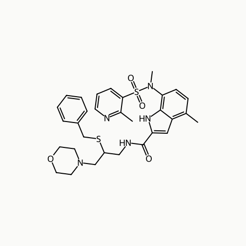 Cc1ncccc1S(=O)(=O)N(C)c1ccc(C)c2cc(C(=O)NCC(CN3CCOCC3)SCc3ccccc3)[nH]c12